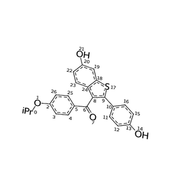 CC(C)Oc1ccc(C(=O)c2c(-c3ccc(O)cc3)sc3cc(O)ccc23)cc1